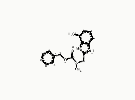 Cc1cccc2[nH]c(CN(C)C(=O)OCc3ccccc3)nc12